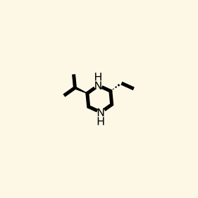 CC[C@@H]1CNC[C@@H](C(C)C)N1